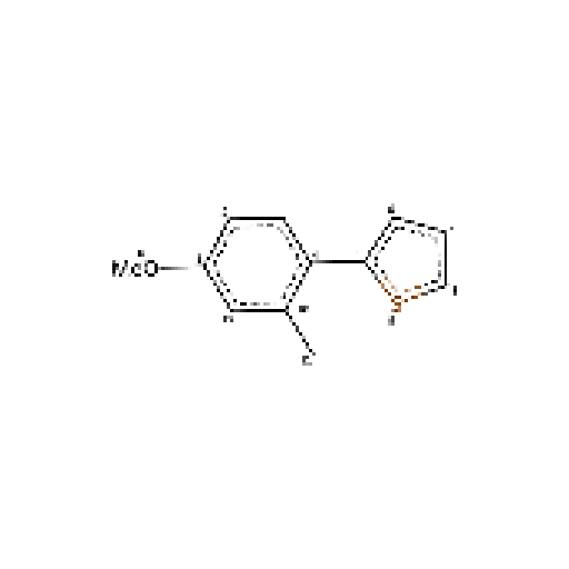 COc1ccc(-c2cccs2)c(C)c1